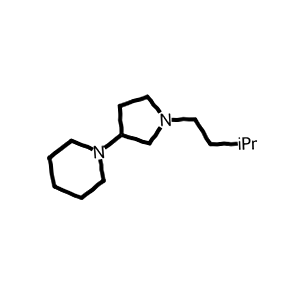 CC(C)CCN1CCC(N2CCCCC2)C1